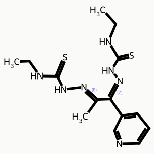 CCNC(=S)N/N=C(\C(C)=N\NC(=S)NCC)c1cccnc1